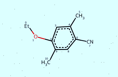 CCOc1cc(C)c(C#N)cc1C